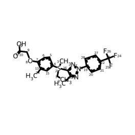 CCS(C)(c1ccc(OCC(=O)O)c(C)c1)c1nn(-c2ccc(C(F)(F)F)cc2)nc1C